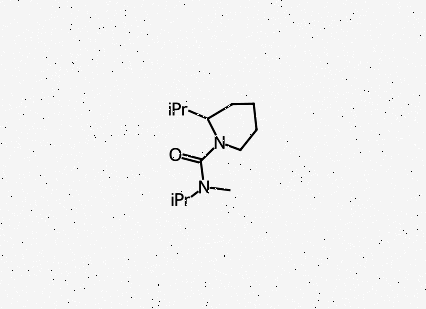 CC(C)C1CCCCN1C(=O)N(C)C(C)C